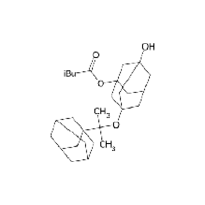 CCC(C)C(=O)OC12CC3CC(O)(C1)CC(OC(C)(C)C14CC5CC(CC(C5)C1)C4)(C3)C2